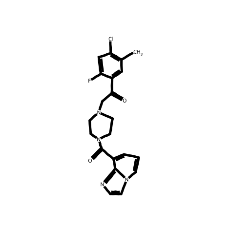 Cc1cc(C(=O)CN2CCN(C(=O)c3cccn4ccnc34)CC2)c(F)cc1Cl